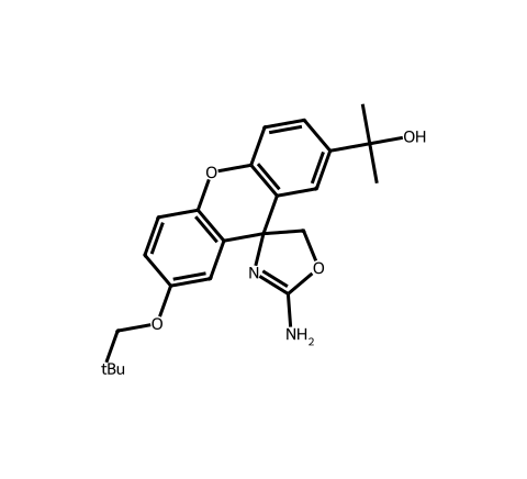 CC(C)(C)COc1ccc2c(c1)C1(COC(N)=N1)c1cc(C(C)(C)O)ccc1O2